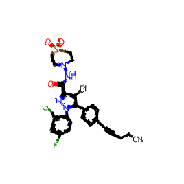 CCc1c(C(=O)NN2CCS(=O)(=O)CC2)nn(-c2ccc(F)cc2Cl)c1-c1ccc(C#CCCC#N)cc1